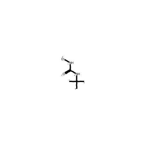 CCNC(=O)NC(C)(C)C